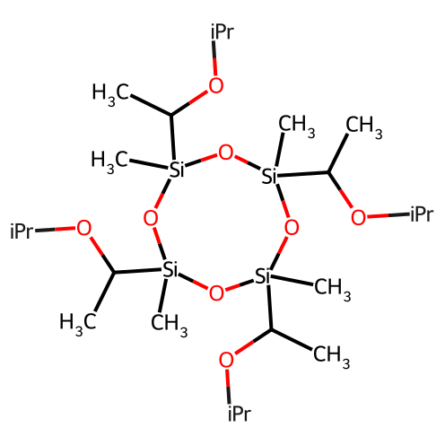 CC(C)OC(C)[Si]1(C)O[Si](C)(C(C)OC(C)C)O[Si](C)(C(C)OC(C)C)O[Si](C)(C(C)OC(C)C)O1